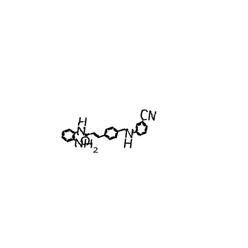 N#Cc1cccc(NCc2ccc(C=CC(=O)Nc3ccccc3N)cc2)c1